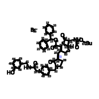 CC(C)(C)OC(=O)N[C@@H]1C(=O)N2C(C(=O)OC(c3ccccc3)c3ccccc3)=C(/C=C3\CCN(Cc4cc[n+](CC(=O)NCc5cccc(O)c5)cc4)C3=O)CS[C@H]12.[Br-]